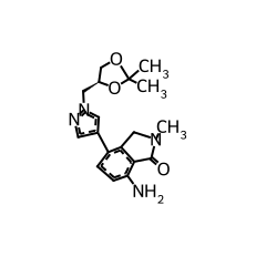 CN1Cc2c(-c3cnn(C[C@H]4COC(C)(C)O4)c3)ccc(N)c2C1=O